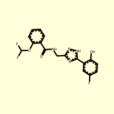 O=C(NCc1n[nH]c(-c2cc(F)ccc2O)n1)c1ccccc1OC(F)F